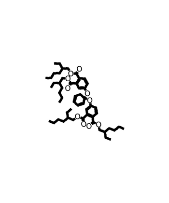 CCCCC(CC)COC(=O)c1ccc(OC2(Oc3ccc(C(=O)OCC(CC)CCCC)c(C(=O)OCC(CC)CCCC)c3)C=CC=CC2)cc1C(=O)OCC(CC)CCCC